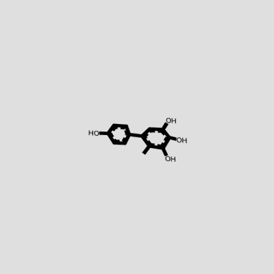 Cc1c(-c2ccc(O)cc2)cc(O)c(O)c1O